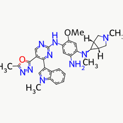 COc1cc(N(C)[C@H]2[C@@H]3CN(C)C[C@@H]32)c(N)cc1Nc1ncc(-c2nnc(C)o2)c(-c2cn(C)c3ccccc23)n1